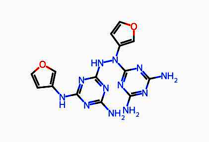 Nc1nc(Nc2ccoc2)nc(NN(c2ccoc2)c2nc(N)nc(N)n2)n1